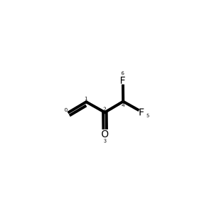 C=CC(=O)C(F)F